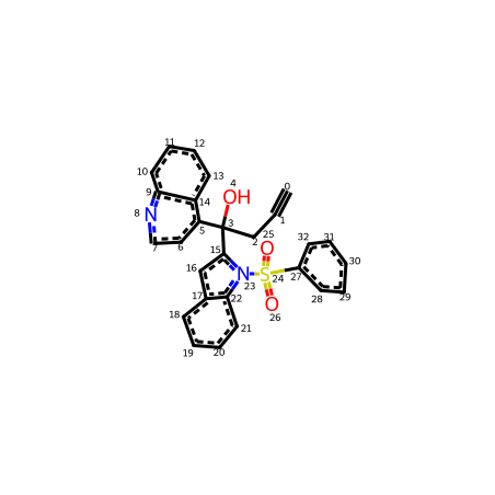 C#CCC(O)(c1ccnc2ccccc12)c1cc2ccccc2n1S(=O)(=O)c1ccccc1